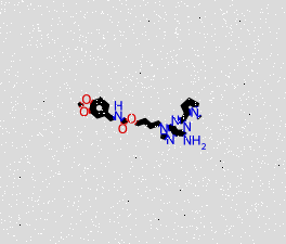 Cn1cccc1-c1nc(N)c2ncn(CCCCOC(=O)NCc3ccc4c(c3)OCO4)c2n1